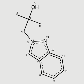 CC(C)(O)Cn1cc2ccccc2n1